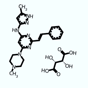 Cc1cc(Nc2cc(N3CCN(C)CC3)nc(/C=C/c3ccccc3)n2)n[nH]1.O=C(O)[C@H](O)[C@@H](O)C(=O)O